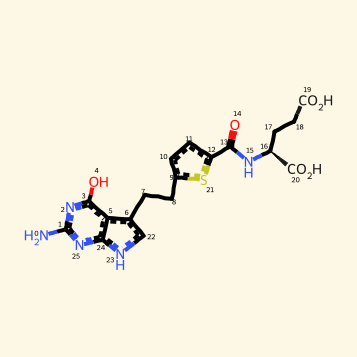 Nc1nc(O)c2c(CCc3ccc(C(=O)N[C@@H](CCC(=O)O)C(=O)O)s3)c[nH]c2n1